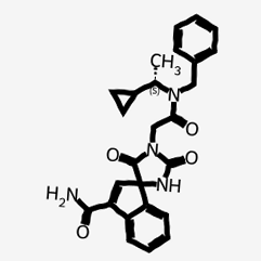 C[C@@H](C1CC1)N(Cc1ccccc1)C(=O)CN1C(=O)NC2(C=C(C(N)=O)c3ccccc32)C1=O